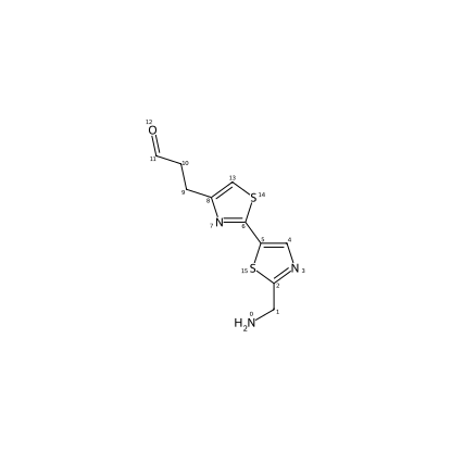 NCc1ncc(-c2nc(CCC=O)cs2)s1